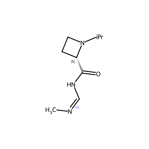 C/N=C\NC(=O)[C@@H]1CCN1C(C)C